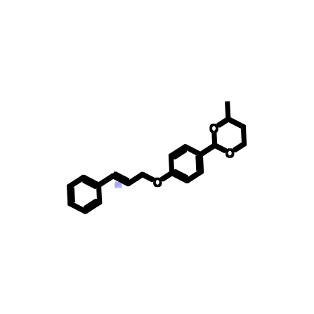 CC1CCOC(c2ccc(OC/C=C/c3ccccc3)cc2)O1